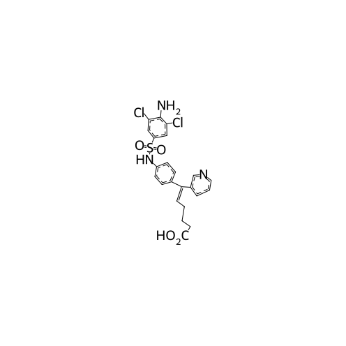 Nc1c(Cl)cc(S(=O)(=O)Nc2ccc(/C(=C/CCCC(=O)O)c3cccnc3)cc2)cc1Cl